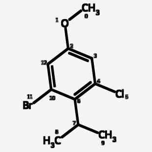 COc1cc(Cl)c(C(C)C)c(Br)c1